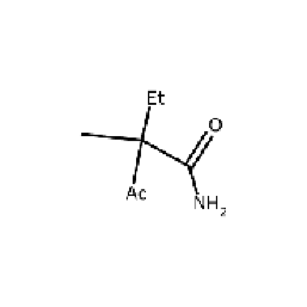 CCC(C)(C(C)=O)C(N)=O